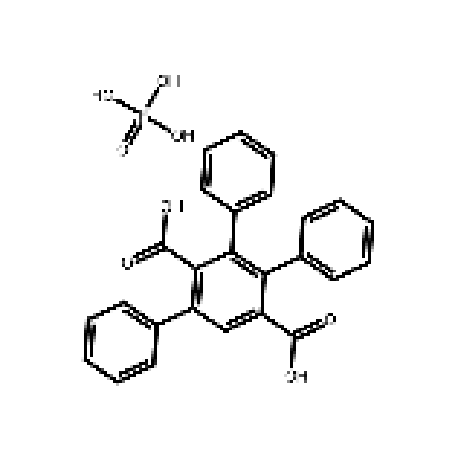 O=C(O)c1cc(-c2ccccc2)c(C(=O)O)c(-c2ccccc2)c1-c1ccccc1.O=P(O)(O)O